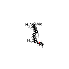 COc1cc(OC2CCc3c(-c4cccc(NC(=O)c5nc6c(n5C)CCN(C(C)COC(=O)C5CC5)C6)c4Cl)cccc32)c(Cl)cc1CN